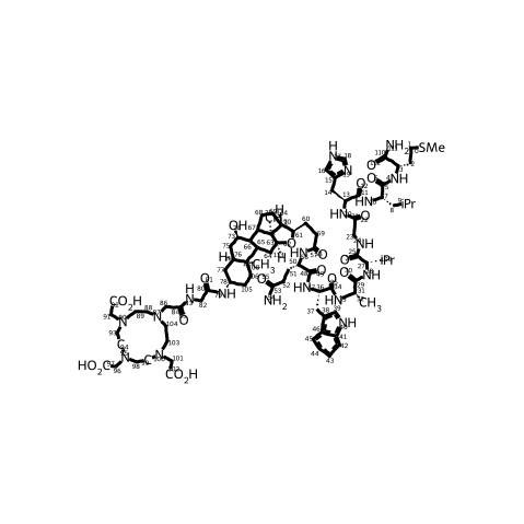 CSCC[C@H](NC(=O)[C@H](CC(C)C)NC(=O)[C@H](Cc1c[nH]cn1)NC(=O)CNC(=O)[C@@H](NC(=O)[C@H](C)NC(=O)[C@H](Cc1c[nH]c2ccccc12)NC(=O)[C@H](CCC(N)=O)NC(=O)CC[C@H]1O[C@H]2CC3C(C4CC[C@H]1[C@]42C)[C@H](O)C[C@@H]1C[C@@H](NC(=O)CNC(=O)CN2CCN(CC(=O)O)CCN(CC(=O)O)CCN(CC(=O)O)CC2)CC[C@]31C)C(C)C)C(N)=O